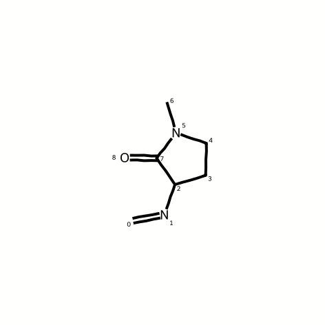 C=NC1CCN(C)C1=O